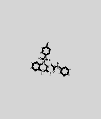 Cc1ccc(S(=O)(=O)N2c3ccccc3NC(=O)[C@H]2CC(=O)Nc2ccccc2)cc1